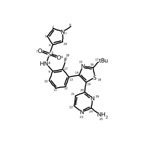 Cn1ccc(S(=O)(=O)Nc2cccc(-c3nc(C(C)(C)C)sc3-c3ccnc(N)n3)c2F)c1